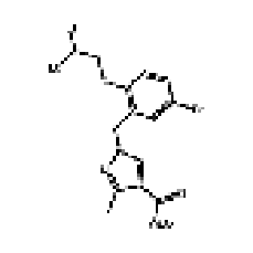 CCC(CC)COc1ccc(Br)cc1Cn1cc(C(=O)OC)c(C)n1